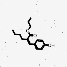 CCCCC(=Cc1ccc(O)cc1)C(=O)OCCC